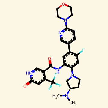 CN(C)[C@@H]1CCN(c2cc(F)c(-c3ccc(N4CCOCC4)nc3)cc2NC(=O)c2c[nH]c(=O)cc2C(F)(F)F)C1